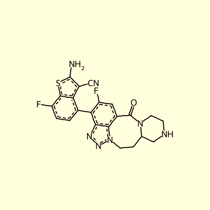 N#Cc1c(N)sc2c(F)ccc(-c3c(F)cc4c5c3nnn5CCC3CNCCN3C4=O)c12